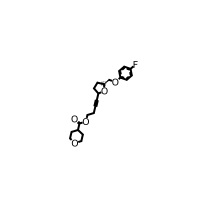 O=C(OCCC#CC1CC[C@@H](COc2ccc(F)cc2)O1)C1CCOCC1